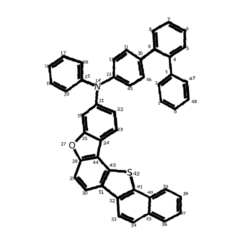 c1ccc(-c2ccccc2-c2ccc(N(c3ccccc3)c3ccc4c(c3)oc3ccc5c6ccc7ccccc7c6sc5c34)cc2)cc1